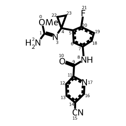 CO/C(N)=N\C1(c2cc(NC(=O)c3ccc(C#N)cn3)ccc2F)CC1